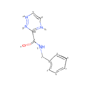 O=C(NCc1ccccc1)c1nccnn1